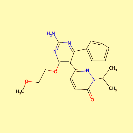 COCCOc1nc(N)nc(-c2ccccc2)c1-c1ccc(=O)n(C(C)C)n1